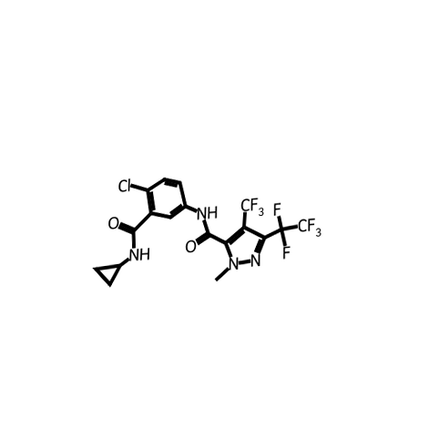 Cn1nc(C(F)(F)C(F)(F)F)c(C(F)(F)F)c1C(=O)Nc1ccc(Cl)c(C(=O)NC2CC2)c1